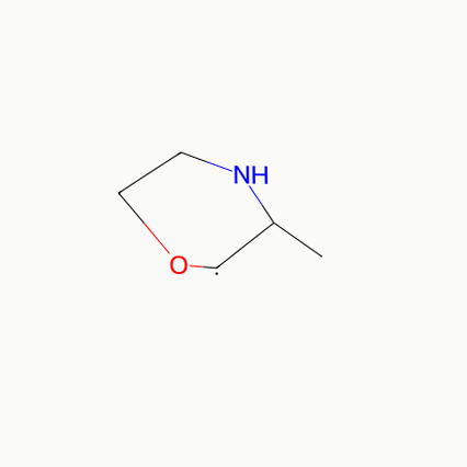 CC1[CH]OCCN1